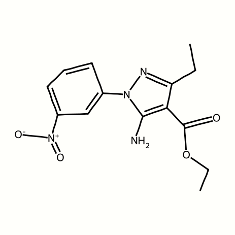 CCOC(=O)c1c(CC)nn(-c2cccc([N+](=O)[O-])c2)c1N